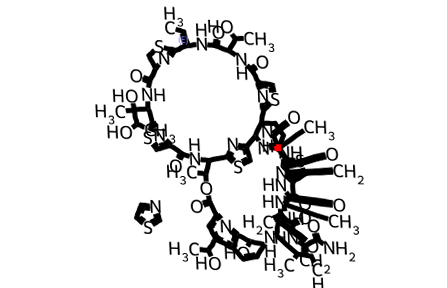 C=C(NC(=O)C(=C)NC(=O)c1csc(C2=NC3c4csc(n4)C4NC(=O)c5csc(n5)C(C(C)(O)C(C)O)NC(=O)C5CSC(=N5)/C(=C\C)NC(=O)C(C(C)O)NC(=O)c5csc(n5)C3(CC2)NC(=O)C(C)NC(=O)C(=C)NC(=O)C(C)NC(=O)C(C(C)CC)NC2C=Cc3c(C(C)O)cc(nc3C2O)C(=O)OC4C)n1)C(N)=O.c1cscn1